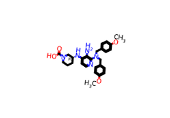 COc1ccc(CN(Cc2ccc(OC)cc2)c2nccc(N[C@@H]3CCCN(C(=O)O)C3)c2N)cc1